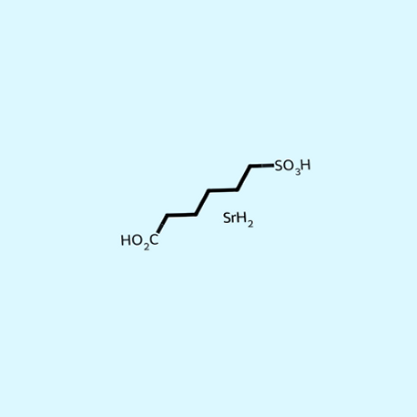 O=C(O)CCCCCS(=O)(=O)O.[SrH2]